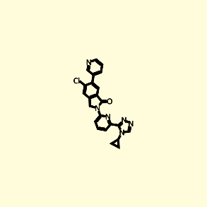 O=C1c2cc(-c3cccnc3)c(Cl)cc2CN1c1cccc(-c2nncn2C2CC2)n1